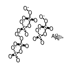 O=S(=O)([O-])OS(=O)(=O)O[O-].O=S(=O)([O-])OS(=O)(=O)O[O-].O=S(=O)([O-])OS(=O)(=O)O[O-].[Al+3].[Al+3]